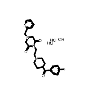 Cl.Cl.Cl.O=C(c1ccc(F)cc1)C1CCN(CCN2C(=O)CN(Cc3ccccn3)CC2=O)CC1